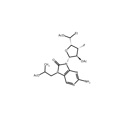 CCC(OC(C)=O)[C@H]1O[C@@H](n2c(=O)n(CC(C)OC(C)=O)c3cnc(N)nc32)[C@H](OC(C)=O)[C@H]1F